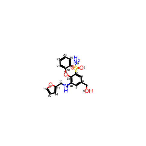 NS(=O)(=O)c1cc(CO)cc(NCc2ccco2)c1Oc1ccccc1